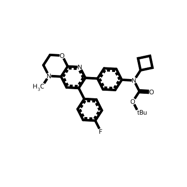 CN1CCOc2nc(-c3ccc(N(C(=O)OC(C)(C)C)C4CCC4)cc3)c(-c3ccc(F)cc3)cc21